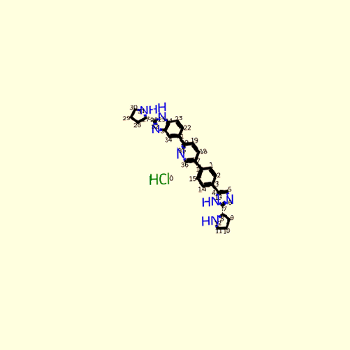 Cl.c1cc(-c2cnc([C@@H]3CCCN3)[nH]2)ccc1-c1ccc(-c2ccc3[nH]c([C@@H]4CCCN4)nc3c2)nc1